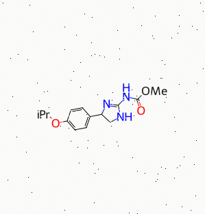 COC(=O)NC1=NC(c2ccc(OC(C)C)cc2)CN1